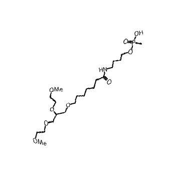 COCCOCC(COCCCCCCC(=O)NCCCCOP(C)(=O)O)OCCOC